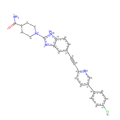 NC(=O)C1CCN(c2nc3cc(C#Cc4ccc(-c5ccc(Cl)cc5)cn4)ccc3[nH]2)CC1